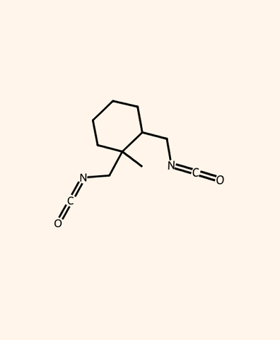 CC1(CN=C=O)CCCCC1CN=C=O